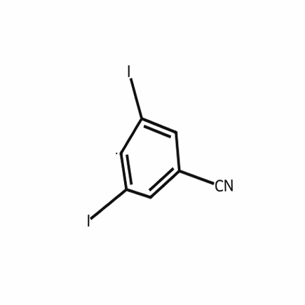 N#Cc1cc(I)[c]c(I)c1